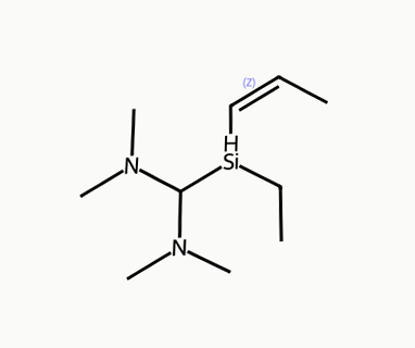 C/C=C\[SiH](CC)C(N(C)C)N(C)C